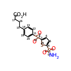 NS(=O)(=O)c1ccc(S(=O)(=O)c2ccc(CCCC(=O)O)cc2)s1